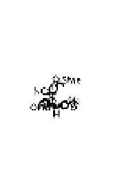 CN/C=C\c1c(C=O)c(Nc2ccc(S(=O)(=O)N(C)C)cc2)nn1C1(CC#N)CCN(C(=O)C(C)SC)CC1